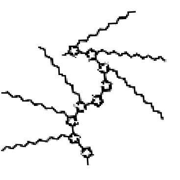 CCCCCCCCCCCCc1cc(C)sc1-c1cc(CCCCCCCCCCCC)c(-c2nc(CCCCCCCCCCCC)c(-c3ccc(-c4ccc(-c5sc(-c6sc(-c7sc(-c8ccc(C)s8)cc7CCCCCCCCCCCC)cc6CCCCCCCCCCCC)nc5CCCCCCCCCCCC)s4)s3)s2)s1